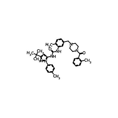 Cc1ccc(-n2nc(C(C)(C)C)cc2NC(=O)Nc2cc(CN3CCN(C(=O)c4ccccc4C)CC3)ccc2C)cc1